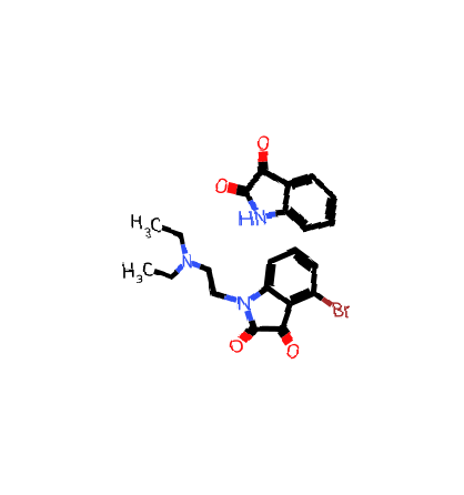 CCN(CC)CCN1C(=O)C(=O)c2c(Br)cccc21.O=C1Nc2ccccc2C1=O